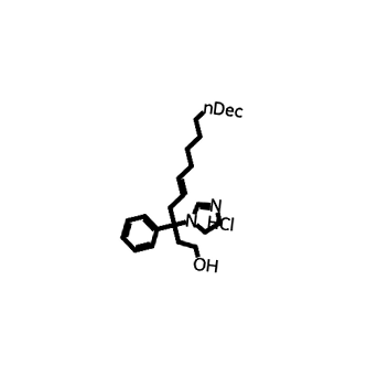 CCCCCCCCCCCCCCC=CCC(CCO)(c1ccccc1)N1C=NCC1.Cl